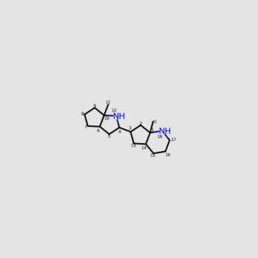 CC12CC(C3CC4CCCC4(C)N3)CC1CCCN2